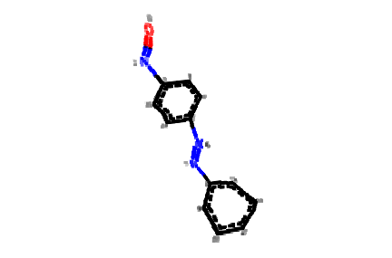 O=Nc1ccc(N=Nc2ccccc2)cc1